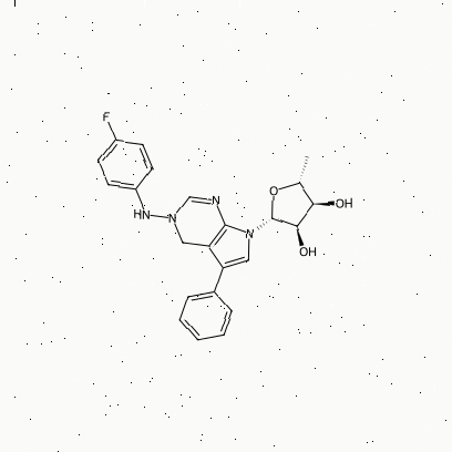 C[C@H]1O[C@@H](n2cc(-c3ccccc3)c3c2N=CN(Nc2ccc(F)cc2)C3)[C@H](O)[C@@H]1O